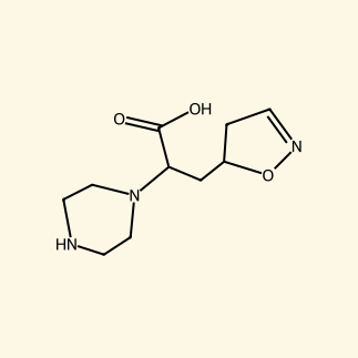 O=C(O)C(CC1CC=NO1)N1CCNCC1